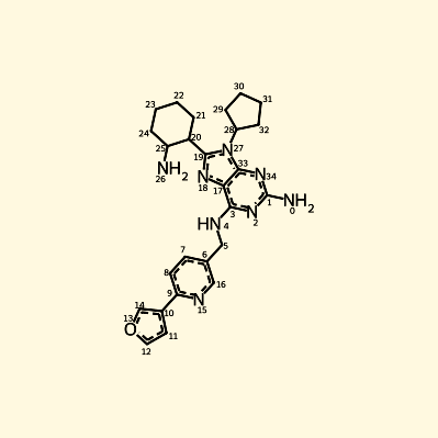 Nc1nc(NCc2ccc(-c3ccoc3)nc2)c2nc(C3CCCCC3N)n(C3CCCC3)c2n1